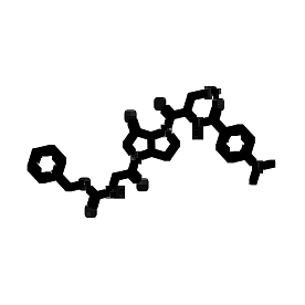 CC(C)CC(NC(=O)c1ccc(N(C)C)cc1)C(=O)N1CCC2C1C(=O)CN2C(=O)CNC(=O)OCc1ccccc1